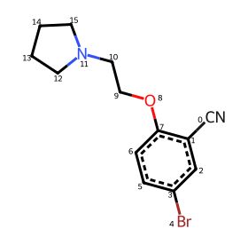 N#Cc1cc(Br)ccc1OCCN1CCCC1